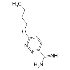 CCCCOc1ccc(C(=N)N)nn1